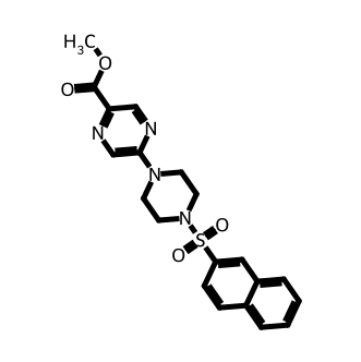 COC(=O)c1cnc(N2CCN(S(=O)(=O)c3ccc4ccccc4c3)CC2)cn1